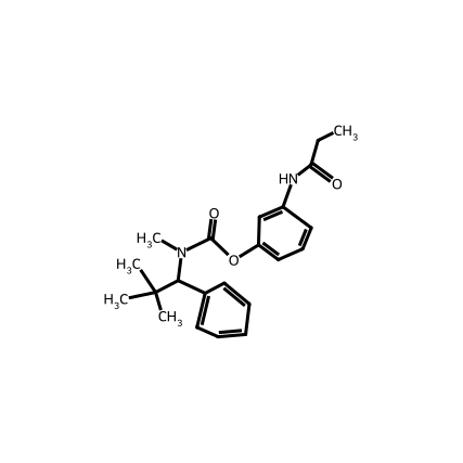 CCC(=O)Nc1cccc(OC(=O)N(C)C(c2ccccc2)C(C)(C)C)c1